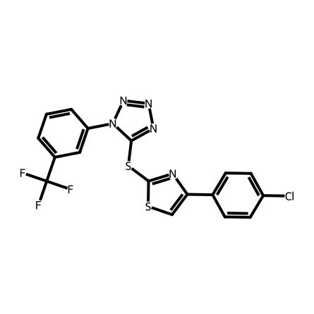 FC(F)(F)c1cccc(-n2nnnc2Sc2nc(-c3ccc(Cl)cc3)cs2)c1